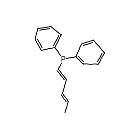 C/C=C/C=C/P(c1ccccc1)c1ccccc1